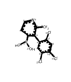 OB(O)c1ccnc(C(F)(F)F)c1-c1cc(Cl)c(Cl)cc1Cl